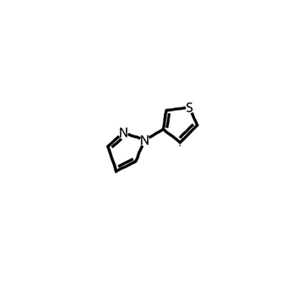 [c]1cscc1-n1cccn1